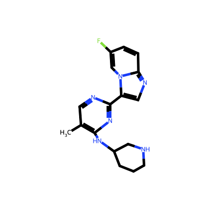 Cc1cnc(-c2cnc3ccc(F)cn23)nc1NC1CCCNC1